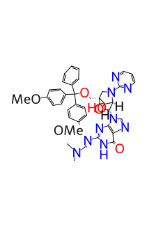 COc1ccc(C(OC[C@@]23CN(c4ncccn4)[C@@H]([C@H](n4cnc5c(=O)[nH]c(N=CN(C)C)nc54)O2)[C@@H]3O)(c2ccccc2)c2ccc(OC)cc2)cc1